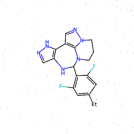 CCc1cc(F)c(C2Nc3cn[nH]c3-c3cnn4c3N2CCC4)c(F)c1